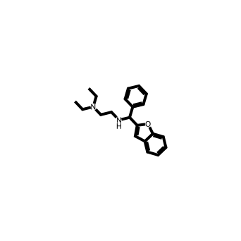 CCN(CC)CCNC(c1ccccc1)c1cc2ccccc2o1